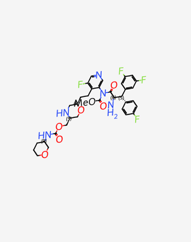 COC(=O)N(C(=O)[C@H](N)[C@@H](c1ccc(F)cc1)c1cc(F)cc(F)c1)c1cncc(F)c1CC[C@@H]1CN[C@H](COC(=O)N[C@@H]2CCCOC2)CO1